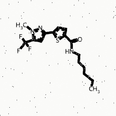 CCCCCCNC(=O)c1ccc(-c2cc(C(F)(F)F)n(C)n2)s1